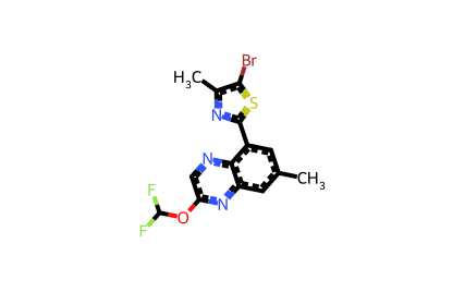 Cc1cc(-c2nc(C)c(Br)s2)c2ncc(OC(F)F)nc2c1